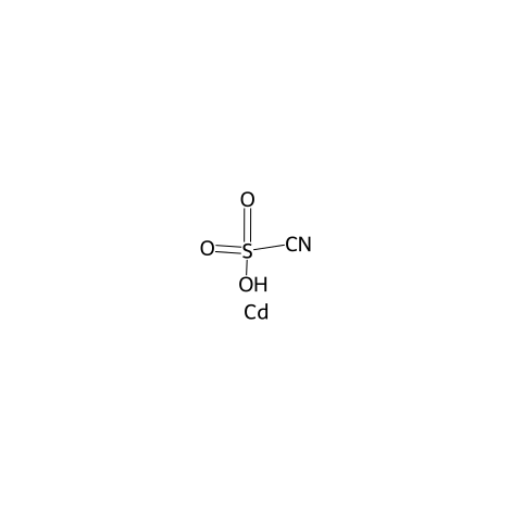 N#CS(=O)(=O)O.[Cd]